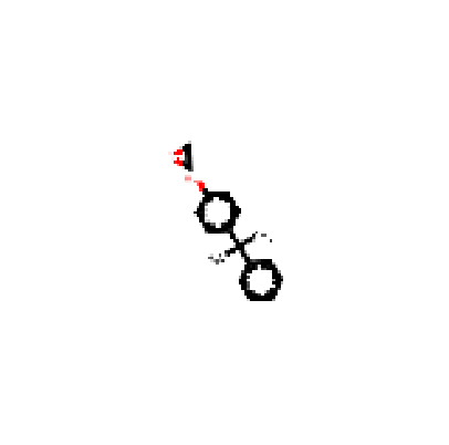 C1CO1.CC(C)(c1ccccc1)c1ccc(O)cc1